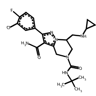 CC(C)(C)NC(=O)N1Cc2c(C(N)=O)c(-c3ccc(F)c(Cl)c3)nn2C(CNC2CC2)C1